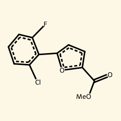 COC(=O)c1ccc(-c2c(F)cccc2Cl)o1